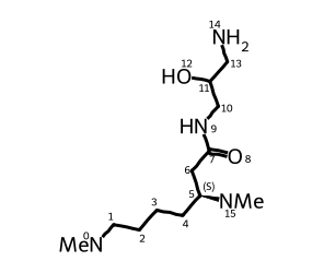 CNCCCC[C@@H](CC(=O)NCC(O)CN)NC